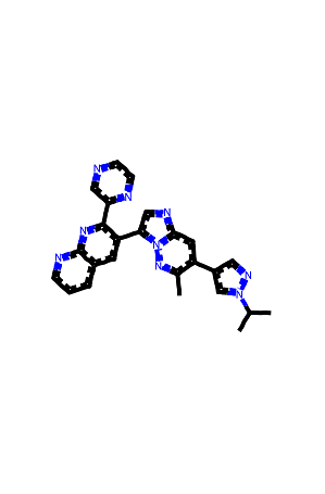 Cc1nn2c(-c3cc4cccnc4nc3-c3cnccn3)cnc2cc1-c1cnn(C(C)C)c1